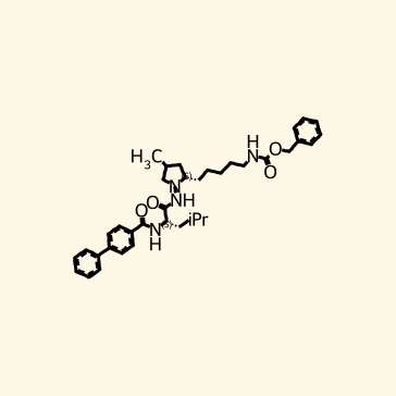 CC(C)C[C@H](NC(=O)c1ccc(-c2ccccc2)cc1)C(=O)NN1CC(C)C[C@@H]1CCCCCNC(=O)OCc1ccccc1